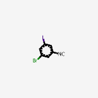 [C-]#[N+]c1cc(Br)cc(I)c1